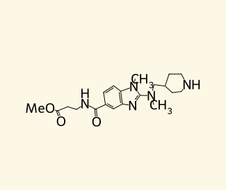 COC(=O)CCNC(=O)c1ccc2c(c1)nc(N(C)CC1CCNCC1)n2C